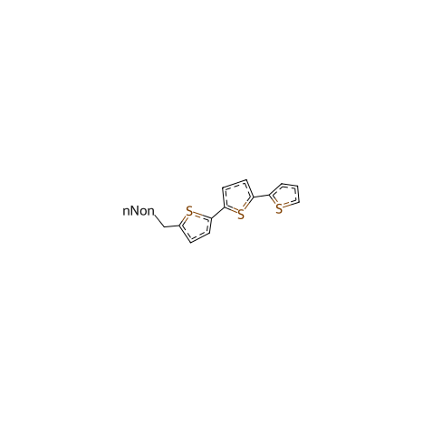 CCCCCCCCCCc1ccc(-c2ccc(-c3cccs3)s2)s1